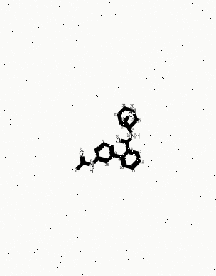 CC(=O)Nc1cccc(-c2ccccc2C(=O)NC2CN3CCC2CC3)c1